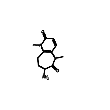 CN1C(=O)C(N)CCc2c1ccc(=O)n2C